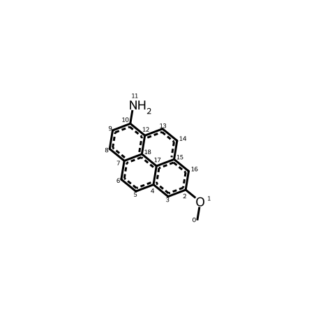 COc1cc2ccc3ccc(N)c4ccc(c1)c2c34